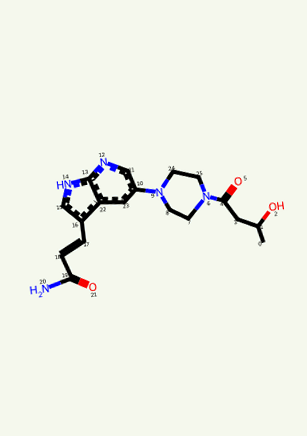 CC(O)CC(=O)N1CCN(c2cnc3[nH]cc(C=CC(N)=O)c3c2)CC1